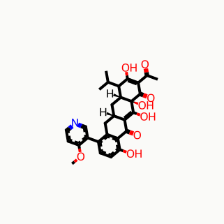 COc1ccncc1-c1ccc(O)c2c1C[C@@H]1C[C@@H]3C(C(C)C)C(O)=C(C(C)=O)C(=O)[C@]3(O)C(O)=C1C2=O